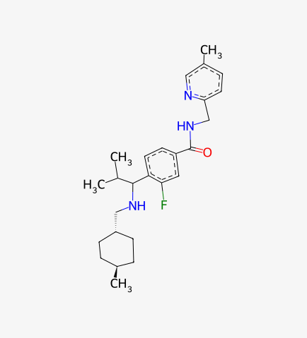 Cc1ccc(CNC(=O)c2ccc(C(NC[C@H]3CC[C@H](C)CC3)C(C)C)c(F)c2)nc1